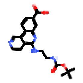 CC(C)(C)OC(=O)NCCNc1nc2cc(C(=O)O)ccc2c2cnccc12